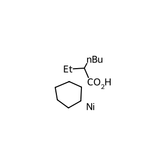 C1CCCCC1.CCCCC(CC)C(=O)O.[Ni]